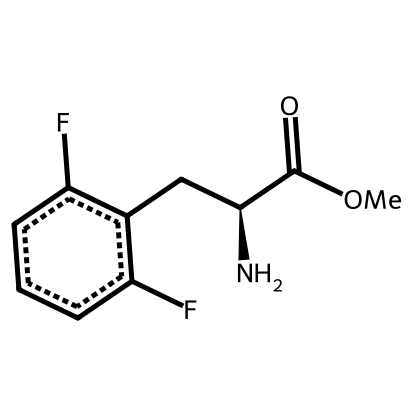 COC(=O)[C@@H](N)Cc1c(F)cccc1F